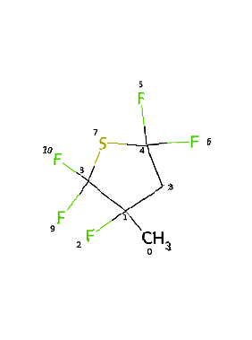 CC1(F)CC(F)(F)SC1(F)F